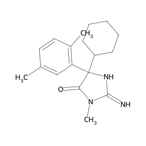 Cc1ccc(C)c(C2(C3CCCCC3)NC(=N)N(C)C2=O)c1